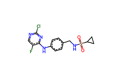 O=S(=O)(NCc1ccc(Nc2nc(Cl)ncc2F)cc1)C1CC1